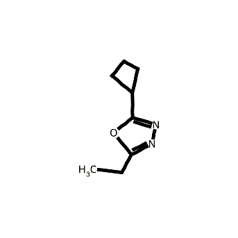 CCc1nnc(C2CCC2)o1